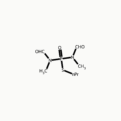 CCCSP(=O)(N(C)C=O)N(C)C=O